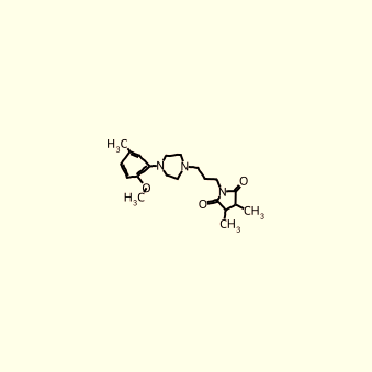 COc1ccc(C)cc1N1CCN(CCCN2C(=O)C(C)C(C)C2=O)CC1